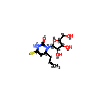 C=CCc1cc(=S)[nH]c(=O)n1[C@H]1O[C@@H](CO)C(O)C1O